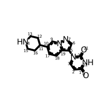 O=c1ccn(-c2cnn3cc(C4CCNCC4)ccc23)c(=O)[nH]1